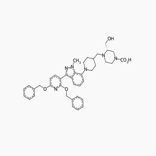 Cn1nc(-c2ccc(OCc3ccccc3)nc2OCc2ccccc2)c2cccc(N3CCC(CN4CCN(C(=O)O)C[C@H]4CO)CC3)c21